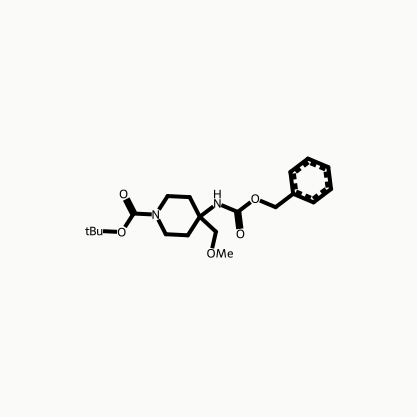 COCC1(NC(=O)OCc2ccccc2)CCN(C(=O)OC(C)(C)C)CC1